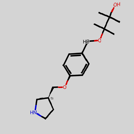 CC(C)(O)C(C)(C)OBc1ccc(OC[C@H]2CCNC2)cc1